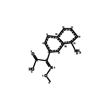 CON=C(C(=O)O)c1ccc2cccc(N)c2c1